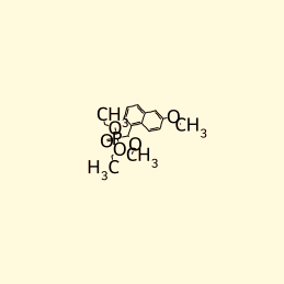 CCOP(=O)(OCC)C(OC)c1cccc2cc(OC)ccc12